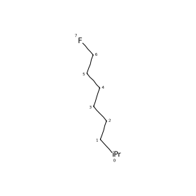 CC(C)CCCCCCF